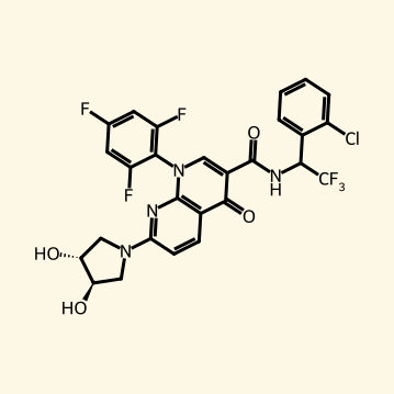 O=C(NC(c1ccccc1Cl)C(F)(F)F)c1cn(-c2c(F)cc(F)cc2F)c2nc(N3C[C@@H](O)[C@H](O)C3)ccc2c1=O